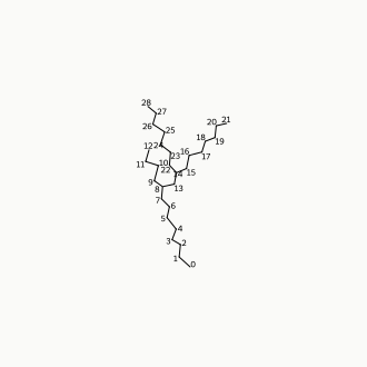 CCCCCCCCC(CCCC)CC(CCCCCCC)CCCCCCC